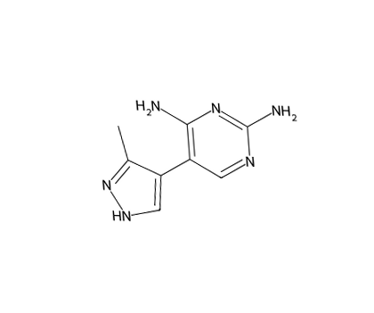 Cc1n[nH]cc1-c1cnc(N)nc1N